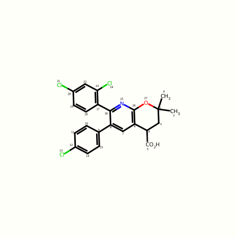 CC1(C)CC(C(=O)O)c2cc(-c3ccc(Cl)cc3)c(-c3ccc(Cl)cc3Cl)nc2O1